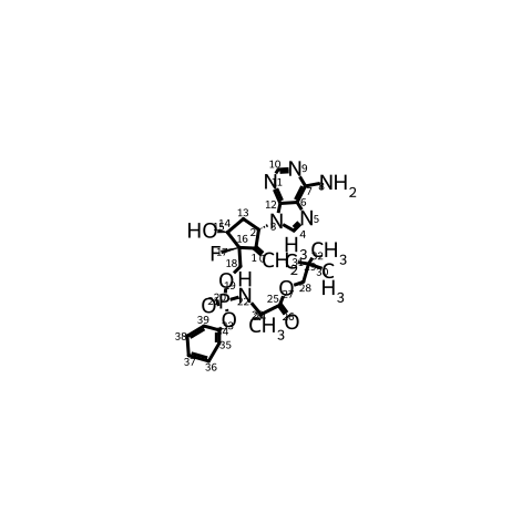 C=C1[C@@H](n2cnc3c(N)ncnc32)C[C@H](O)[C@@]1(F)COP(=O)(NC(C)C(=O)OCC(C)(C)C)Oc1ccccc1